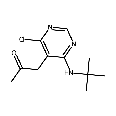 CC(=O)Cc1c(Cl)ncnc1NC(C)(C)C